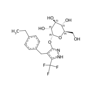 CCc1ccc(Cc2c(O[C@H]3O[C@H](CO)[C@@H](O)[C@H](O)[C@H]3O)n[nH]c2C(F)(F)F)cc1